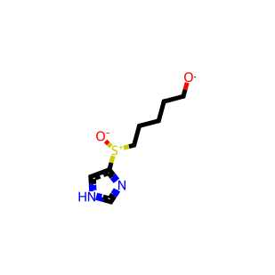 [O]CCCCC[S+]([O-])c1c[nH]cn1